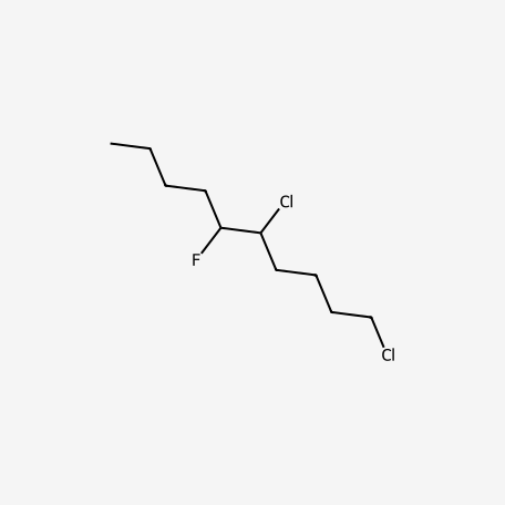 CCCCC(F)C(Cl)CCCCCl